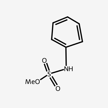 [CH2]OS(=O)(=O)Nc1ccccc1